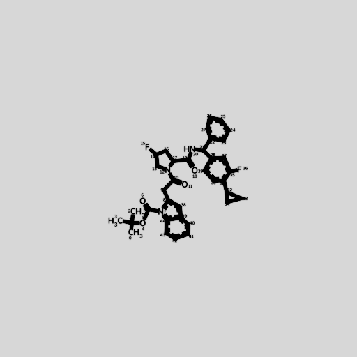 CC(C)(C)OC(=O)n1c(CC(=O)N2CC(F)CC2C(=O)NC(c2ccccc2)c2ccc(C3CC3)c(F)c2)cc2ccccc21